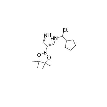 CCC(N/C=C(\C=N)B1OC(C)(C)C(C)(C)O1)C1CCCC1